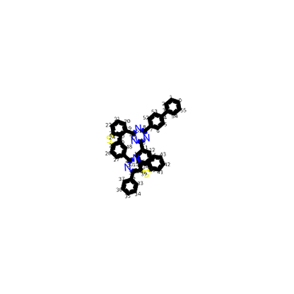 c1ccc(-c2ccc(-c3nc(-c4ccccc4)nc(-c4cccc5sc6ccc(-c7nc(-c8ccccc8)c8sc9ccccc9c8n7)cc6c45)n3)cc2)cc1